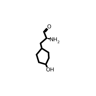 N[C@H](C=O)CC1CCC(O)CC1